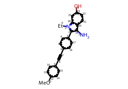 CCn1c(-c2ccc(C#Cc3ccc(OC)cc3)cc2)c(N)c2ccc(O)cc21